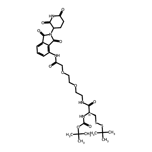 CC(C)(C)OC(=O)N[C@H](CSSC(C)(C)C)C(=O)NCCOCCOCC(=O)Nc1cccc2c1C(=O)N(C1CCC(=O)NC1=O)C2=O